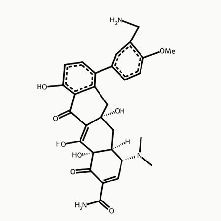 COc1ccc(-c2ccc(O)c3c2C[C@@]2(O)C[C@H]4[C@H](N(C)C)C=C(C(N)=O)C(=O)[C@@]4(O)C(O)=C2C3=O)cc1CN